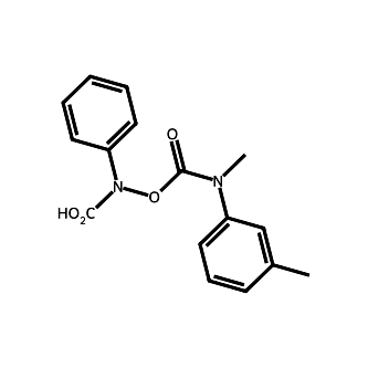 Cc1cccc(N(C)C(=O)ON(C(=O)O)c2ccccc2)c1